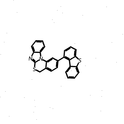 c1ccc2c(c1)nc1n2-c2cc(-c3cccc4sc5ccccc5c34)ccc2CS1